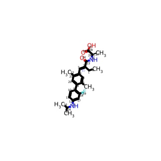 CC/C(=C\c1cc(C)c(-c2ccc(NC(C)C)cc2F)cc1C)C(=O)N[C@H](C)C(=O)O